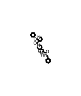 O=C(NCc1ccccc1)C1=NOC2(CCN(C(=O)c3cccnc3Oc3ccccc3)CC2)C1